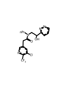 CCCN(CC(O)c1cccnn1)C(=O)Cc1cnc(C(F)(F)F)c(Cl)c1